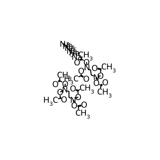 CC(=O)ON(CCN(OC(C)=O)OC(C)=O)OC(C)=O.CC(=O)ON(CCN(OC(C)=O)OC(C)=O)OC(C)=O.[Na].[Na].[Na].[Na].[Na].[Na]